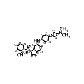 CN(C)C1CN(c2ccc(Nc3cc4c(ccn4S(=O)(=O)c4ccccc4C#N)cn3)cc2)C1